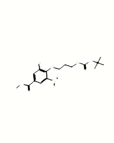 COC(=O)c1cc(Br)c(NCCCNC(=O)OC(C)(C)C)c([N+](=O)[O-])c1